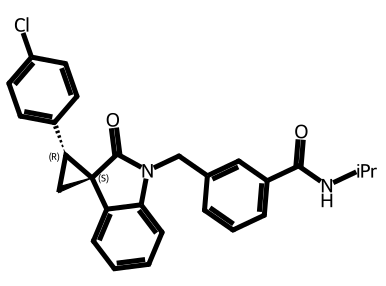 CC(C)NC(=O)c1cccc(CN2C(=O)[C@]3(C[C@@H]3c3ccc(Cl)cc3)c3ccccc32)c1